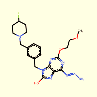 COCCOc1nc(N=NN)c2nc(O)n(Cc3cccc(CN4CCC(F)CC4)c3)c2n1